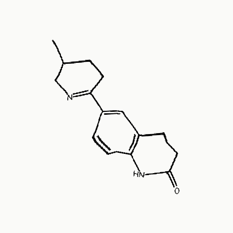 CC1CCC(c2ccc3c(c2)CCC(=O)N3)=NC1